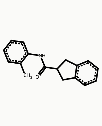 Cc1ccccc1NC(=O)C1Cc2ccccc2C1